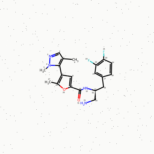 Cc1cnn(C)c1-c1cc(C(=O)N[C@H](CN)Cc2ccc(F)c(F)c2)oc1C